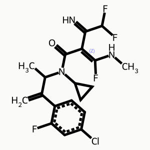 C=C(c1ccc(Cl)cc1F)C(C)N(C(=O)/C(C(=N)C(F)F)=C(\F)NC)C1CC1